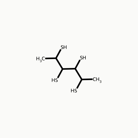 CC(S)C(S)C(S)C(C)S